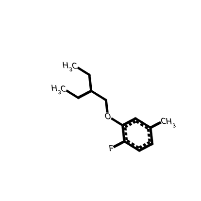 CCC(CC)COc1cc(C)ccc1F